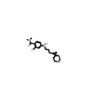 CN(C)C(=O)c1ccc(OCCCC2CC23CCNCC3)cc1Cl.Cl